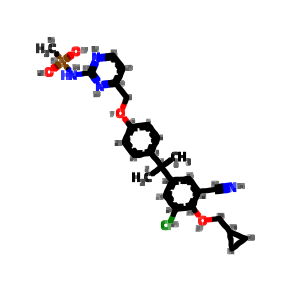 CC(C)(c1ccc(OCc2ccnc(NS(C)(=O)=O)n2)cc1)c1cc(Cl)c(OCC2CC2)c(C#N)c1